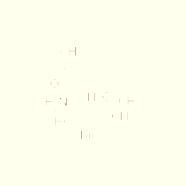 CCOC(=O)CC(N)c1cc(C(C)(C)C)cc(Br)c1O